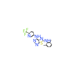 Cc1cccc(C)c1Nc1nc2c(Nc3ccc(C(F)(F)F)nc3)ncnc2s1